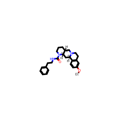 CCOc1ccc2c(c1)CCN1C[C@H]3CCCN(C(=O)NCCc4ccccc4)[C@H]3C[C@H]21